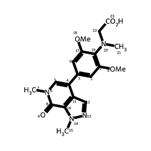 COc1cc(-c2cn(C)c(=O)c3c2cnn3C)cc(OC)c1N(C)CC(=O)O